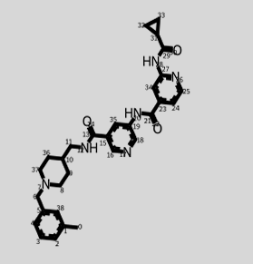 Cc1cccc(CN2CCC(CNC(=O)c3cncc(NC(=O)c4ccnc(NC(=O)C5CC5)c4)c3)CC2)c1